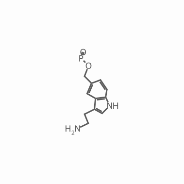 NCCc1c[nH]c2ccc(COP=O)cc12